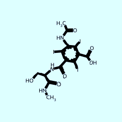 CNC(=O)C(CO)NC(=O)c1c(I)c(NC(C)=O)c(I)c(C(=O)O)c1I